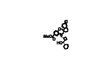 COC(=O)c1ccc2c(c1)N(C[C@@H]1CC[C@H]1C(O)[C@@H]1C=CCCC1)C[C@@]1(CCCc3cc(Cl)ccc31)CO2